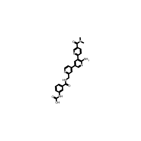 CN(C)C(=O)c1ccc(-c2cc(-c3ccnc(CNC(=O)c4cccc(NC(=O)O)c4)c3)cnc2N)nc1